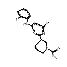 CCC(=O)N1CCCC(c2nc(Cl)cc(Nc3ccccc3F)n2)C1